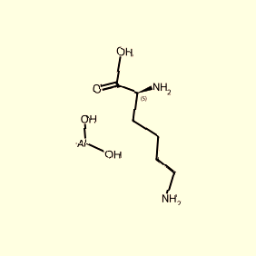 NCCCC[C@H](N)C(=O)O.[OH][Al][OH]